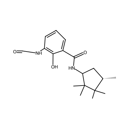 C[C@H]1CC(NC(=O)c2cccc(NC=O)c2O)C(C)(C)C1(C)C